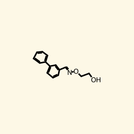 OCCON=Cc1cccc(-c2ccccc2)c1